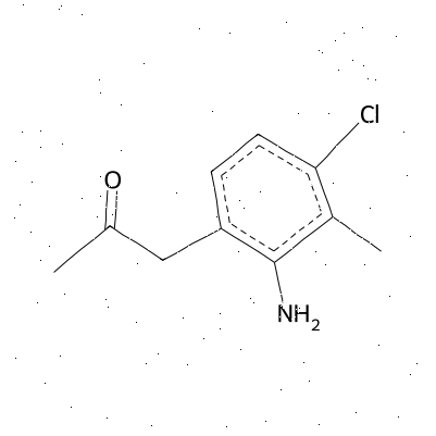 CC(=O)Cc1ccc(Cl)c(C)c1N